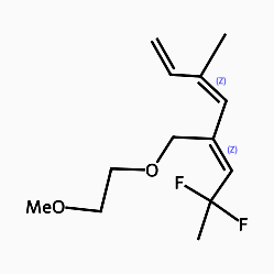 C=C/C(C)=C\C(=C\C(C)(F)F)COCCOC